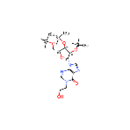 CC(C)(C)[Si](C)(C)OC[C@H]1O[C@@H](n2cnc3c(=O)n(CCO)cnc32)[C@H](O[Si](C)(C)C(C)(C)C)[C@@H]1O[Si](C)(C)C(C)(C)C